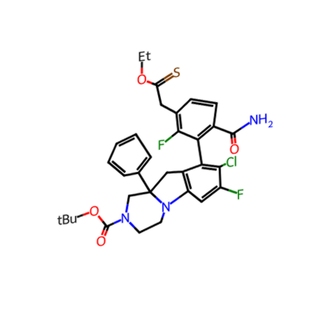 CCOC(=S)Cc1ccc(C(N)=O)c(-c2c(Cl)c(F)cc3c2CC2(c4ccccc4)CN(C(=O)OC(C)(C)C)CCN32)c1F